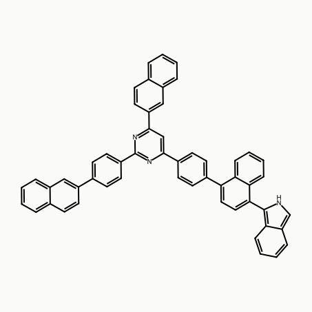 c1ccc2cc(-c3ccc(-c4nc(-c5ccc(-c6ccc(-c7[nH]cc8ccccc78)c7ccccc67)cc5)cc(-c5ccc6ccccc6c5)n4)cc3)ccc2c1